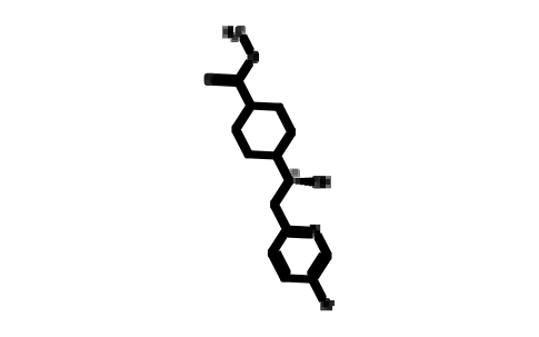 COC(=O)C1CCC([C@H](O)Cc2ccc(Br)cn2)CC1